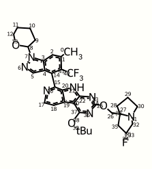 Cc1cc2c(cnn2C2CCCCO2)c(-c2nccc3c2[nH]c2nc(OC[C@@]45CCCN4C[C@H](F)C5)nc(OC(C)(C)C)c23)c1C(F)(F)F